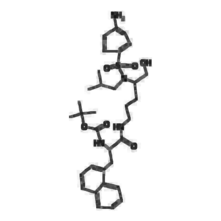 CC(C)CN(C(CO)CCCNC(=O)C(Cc1cccc2ccccc12)NC(=O)OC(C)(C)C)S(=O)(=O)c1ccc(N)cc1